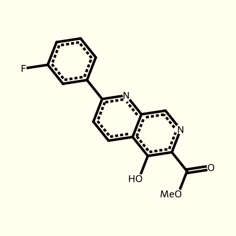 COC(=O)c1ncc2nc(-c3cccc(F)c3)ccc2c1O